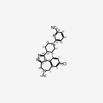 CC(=O)N1Cc2cc(Cl)ccc2-n2c(nnc2C2CCN(c3cccc(C#N)n3)CC2)C1